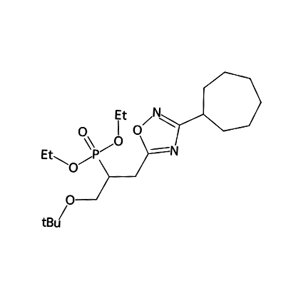 CCOP(=O)(OCC)C(COC(C)(C)C)Cc1nc(C2CCCCCC2)no1